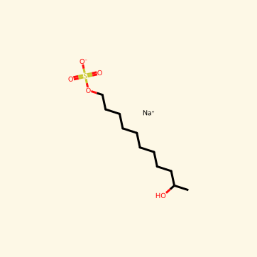 CC(O)CCCCCCCCCOS(=O)(=O)[O-].[Na+]